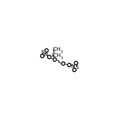 CCCCC1(C)c2cc(/C=C/c3ccc(-c4ccc(N5c6ccccc6Sc6ccccc65)cc4)cc3)ccc2-c2ccc(N3c4ccccc4Sc4ccccc43)cc21